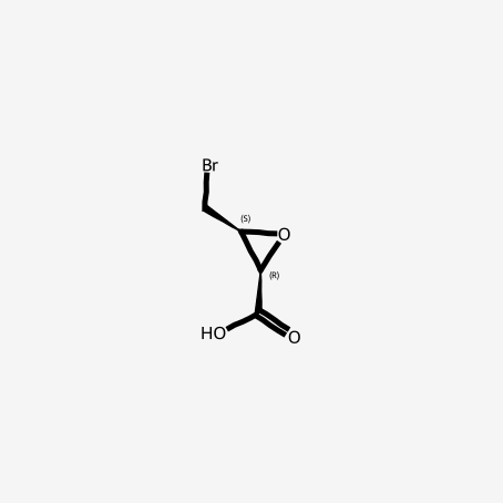 O=C(O)[C@@H]1O[C@@H]1CBr